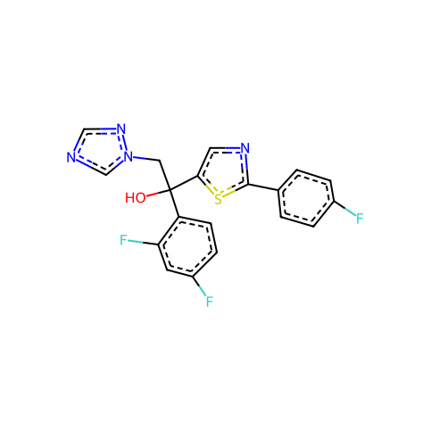 OC(Cn1cncn1)(c1cnc(-c2ccc(F)cc2)s1)c1ccc(F)cc1F